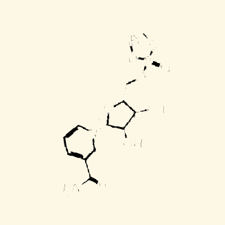 CC(C)OP(=O)(OC[C@H]1O[C@@H](N2C=CC=C(C(N)=O)C2)[C@H](O)[C@@H]1O)OC(C)C